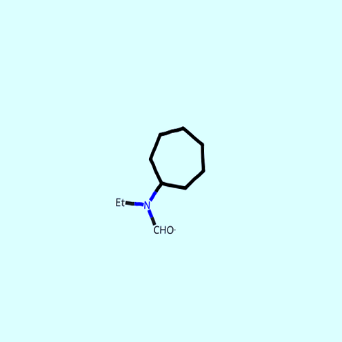 CCN([C]=O)C1CCCCCC1